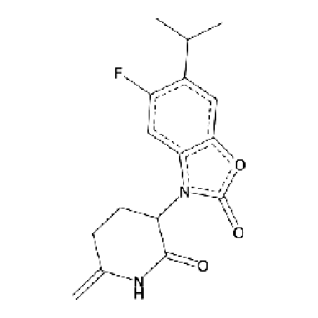 C=C1CCC(n2c(=O)oc3cc(C(C)C)c(F)cc32)C(=O)N1